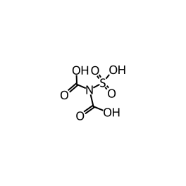 O=C(O)N(C(=O)O)S(=O)(=O)O